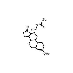 CC(=O)OC1=CC2=CCC3C(CC[C@]4(CCOC(=O)C(C)(C)C)C(=O)CCC34)C2CC1